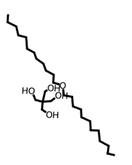 CCCCCCCCCCCCOCCCCCCCCCCCC.OCC(CO)(CO)CO